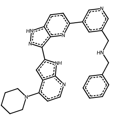 c1ccc(CNCc2cncc(-c3ccc4[nH]nc(-c5cc6c(N7CCCCC7)ccnc6[nH]5)c4n3)c2)cc1